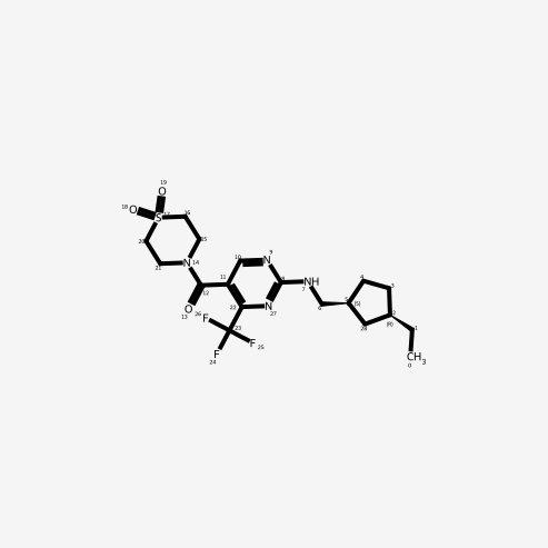 CC[C@@H]1CC[C@H](CNc2ncc(C(=O)N3CCS(=O)(=O)CC3)c(C(F)(F)F)n2)C1